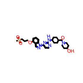 CS(=O)(=O)CCCOc1cccc2c1cnn2-c1ccnc(NC2CCC(C(=O)N3CCC(O)CC3)CC2)n1